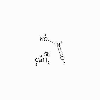 O=NO.[CaH2].[Si]